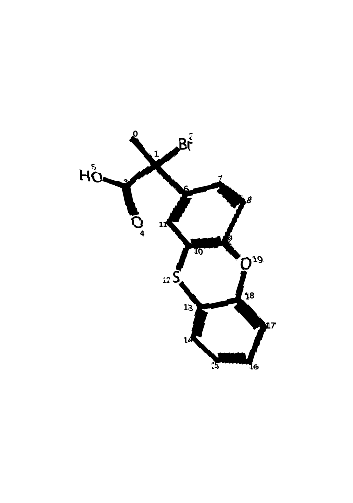 CC(Br)(C(=O)O)c1ccc2c(c1)Sc1ccccc1O2